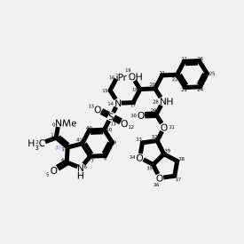 CN/C(C)=C1/C(=O)Nc2ccc(S(=O)(=O)N(CC(C)C)CC(O)C(Cc3ccccc3)NC(=O)OC3COC4OCCC34)cc21